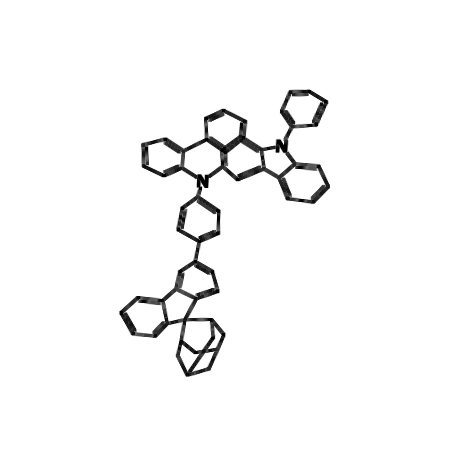 c1ccc(-c2ccccc2N(c2ccc(-c3ccc4c(c3)-c3ccccc3C43C4CC5CC(C4)CC3C5)cc2)c2ccc3c(c2)c2ccccc2n3-c2ccccc2)cc1